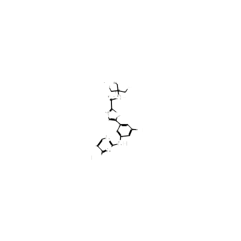 Cc1cc(Nc2nccc(C(F)(F)F)n2)cc(-c2cnc(C(=O)NC(CO)(CO)CO)s2)c1